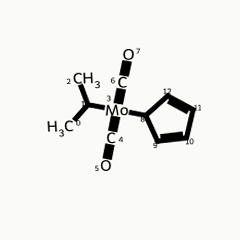 C[CH](C)[Mo](=[C]=O)(=[C]=O)[CH]1C=CC=C1